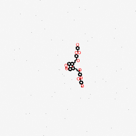 COc1ccc(C(=O)Oc2ccc(C(=O)/C=C/c3ccc4c5c(ccc4c3)OCOc3ccc4cc(/C=C/C(=O)c6ccc(OC(=O)c7ccc(OC)cc7)cc6)ccc4c3-5)cc2)cc1